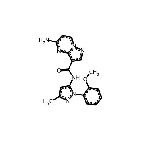 COc1ccccc1-n1nc(C)cc1NC(=O)c1cnn2ccc(N)nc12